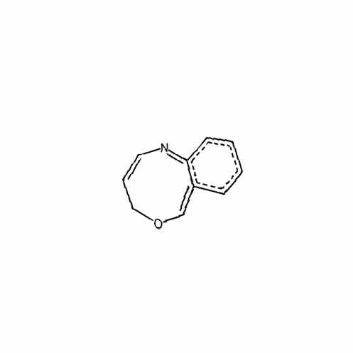 C1=CN=c2ccccc2=COC1